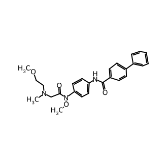 COCCN(C)CC(=O)N(OC)c1ccc(NC(=O)c2ccc(-c3ccccc3)cc2)cc1